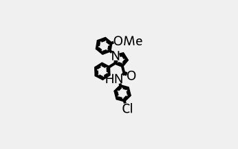 COc1ccccc1-n1ccc(C(=O)Nc2ccc(Cl)cc2)c1-c1ccccc1